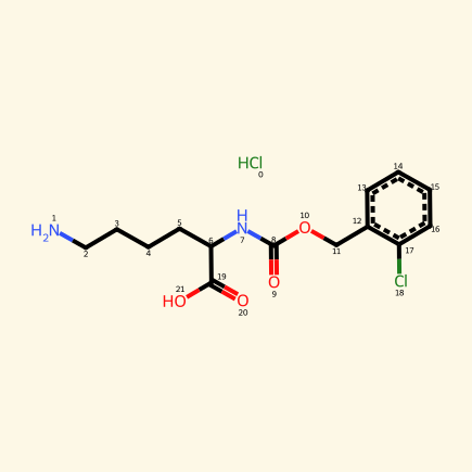 Cl.NCCCCC(NC(=O)OCc1ccccc1Cl)C(=O)O